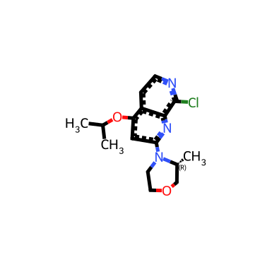 CC(C)Oc1cc(N2CCOC[C@H]2C)nc2c(Cl)nccc12